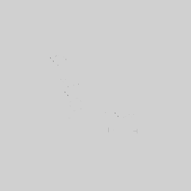 CC(C)C(=O)N1CCC2(CC(Cc3ccc(NC(=O)OCc4cnco4)cc3F)C2)C1